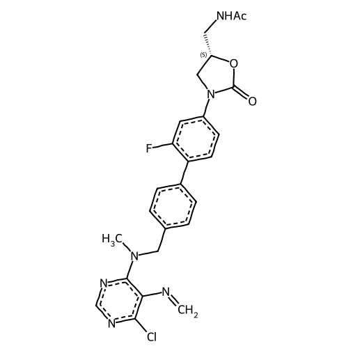 C=Nc1c(Cl)ncnc1N(C)Cc1ccc(-c2ccc(N3C[C@H](CNC(C)=O)OC3=O)cc2F)cc1